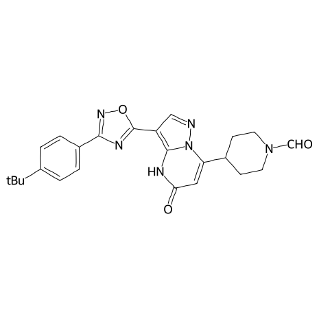 CC(C)(C)c1ccc(-c2noc(-c3cnn4c(C5CCN(C=O)CC5)cc(=O)[nH]c34)n2)cc1